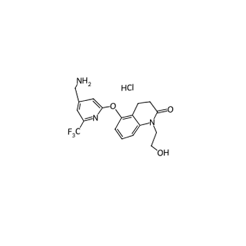 Cl.NCc1cc(Oc2cccc3c2CCC(=O)N3CCO)nc(C(F)(F)F)c1